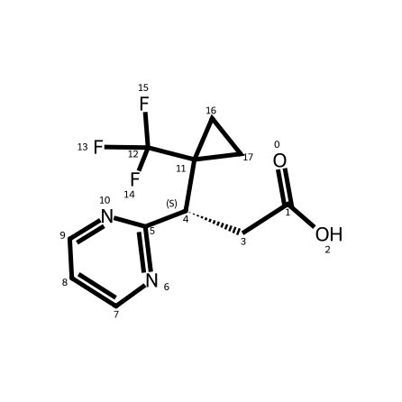 O=C(O)C[C@H](c1ncccn1)C1(C(F)(F)F)CC1